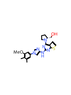 COc1cc(-n2cnc(Nc3nc(N4CCC[C@@H]4CO)c4ccsc4n3)c2)cc(C)c1C